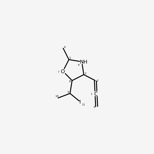 C=C=CC1NC(C)OC1C(C)I